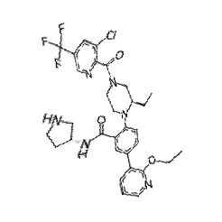 CCOc1ncccc1-c1ccc(N2CCN(C(=O)c3ncc(C(F)(F)F)cc3Cl)C[C@H]2CC)c(C(=O)N[C@@H]2CCNC2)c1